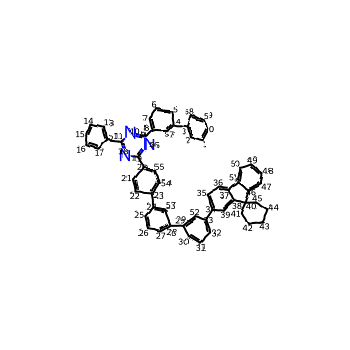 c1ccc(-c2cccc(-c3nc(-c4ccccc4)nc(-c4ccc(-c5cccc(-c6cccc(-c7ccc8c(c7)C7(CCCCC7)c7ccccc7-8)c6)c5)cc4)n3)c2)cc1